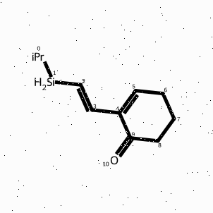 CC(C)[SiH2]C=CC1=CCCCC1=O